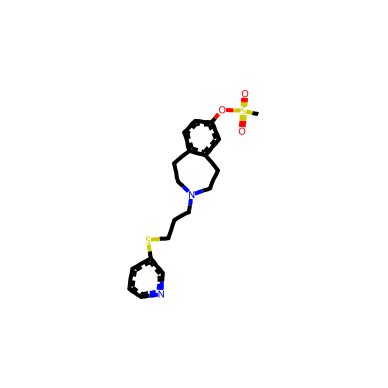 CS(=O)(=O)Oc1ccc2c(c1)CCN(CCCSc1cccnc1)CC2